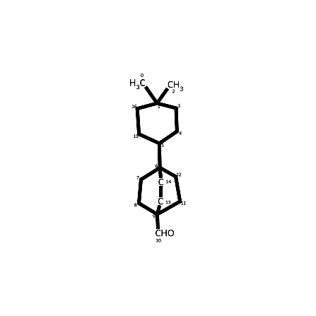 CC1(C)CCC(C23CCC(C=O)(CC2)CC3)CC1